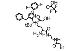 CC(C)(C)[C@H](c1nn(-c2cc(F)ccc2F)cc1Cc1ccccc1)N(CC[C@H](N)C(=O)NCCNC(=O)CBr)C(=O)CO.O=C(O)C(F)(F)F